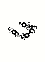 COc1ccc(CNc2cnc3ccc(-c4cnc(Cl)c(NS(=O)(=O)c5ccc(F)cc5)c4)cc3n2)cc1